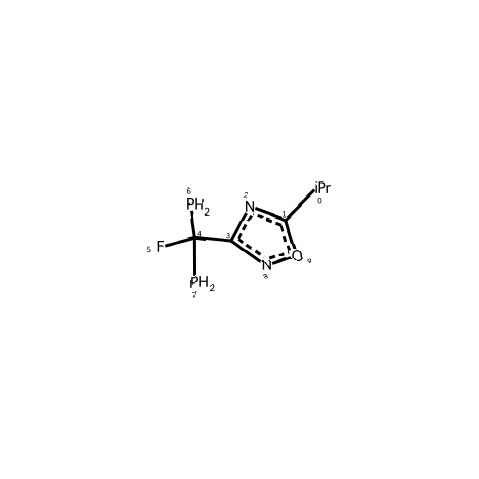 CC(C)c1nc(C(F)(P)P)no1